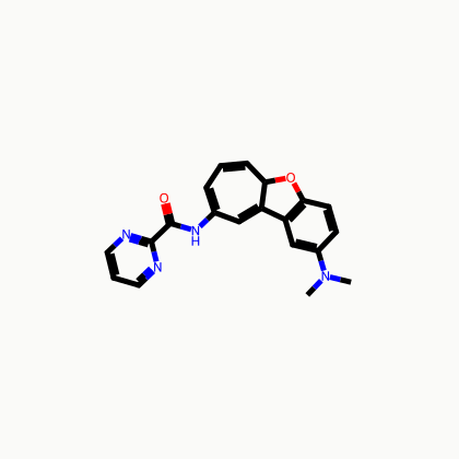 CN(C)c1ccc2c(c1)C1=CC(NC(=O)c3ncccn3)=CC=CC1O2